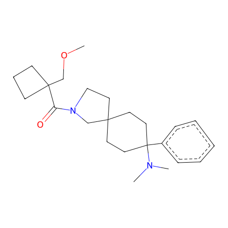 COCC1(C(=O)N2CCC3(CCC(c4ccccc4)(N(C)C)CC3)C2)CCC1